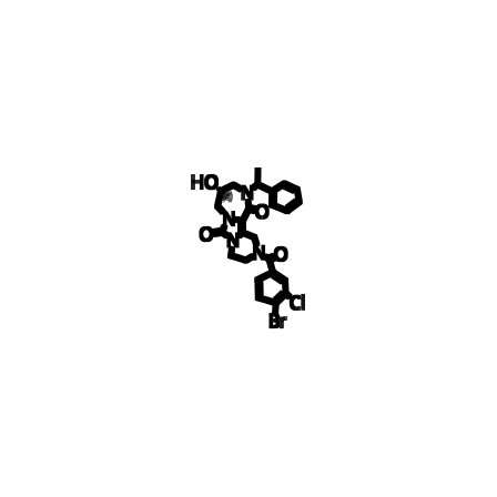 CC(c1ccccc1)N1C[C@@H](O)Cn2c(c3n(c2=O)CCN(C(=O)c2ccc(Br)c(Cl)c2)C3)C1=O